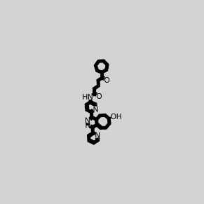 O=C(CCCC(=O)C1CCCCCC1)Nc1ccc(C2=NN=C(c3ccccn3)/C3=C/CC[C@H](O)CCC23)nc1